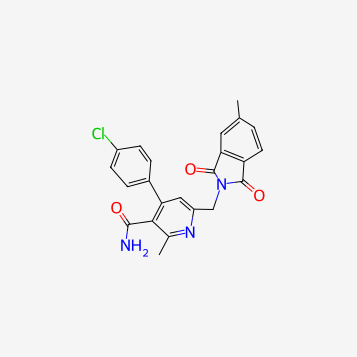 Cc1ccc2c(c1)C(=O)N(Cc1cc(-c3ccc(Cl)cc3)c(C(N)=O)c(C)n1)C2=O